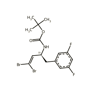 CC(C)(C)OC(=O)N[C@H](C=C(Br)Br)Cc1cc(F)cc(F)c1